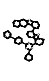 c1ccc(-c2ccc(-c3nc(-c4ccccc4)nc(-c4cccc5oc6c(-c7cccc8oc9cc%10ccccc%10cc9c78)cccc6c45)n3)cc2)cc1